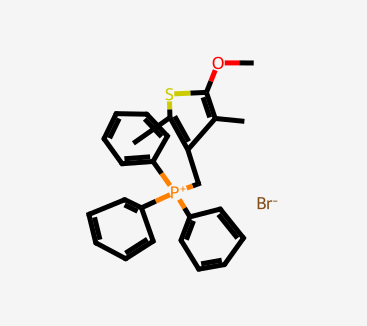 COc1sc(C)c(C[P+](c2ccccc2)(c2ccccc2)c2ccccc2)c1C.[Br-]